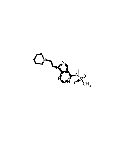 CS(=O)(=O)Nc1ncnc2c1cnn2CCN1CCCCC1